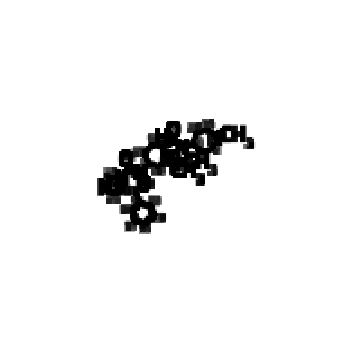 CN1CCC(N2C(=O)[C@@H]3CC[C@@H](N(OCc4ccccc4)C(=O)n4ccnc4)CN3[Si]2(C)C)CC1